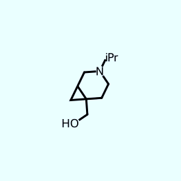 CC(C)N1CCC2(CO)CC2C1